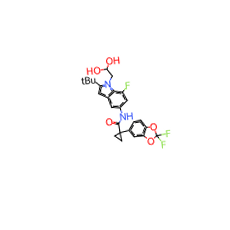 CC(C)(C)c1cc2cc(NC(=O)C3(c4ccc5c(c4)OC(F)(F)O5)CC3)cc(F)c2n1CC(O)O